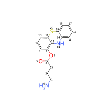 NCCCC(=O)Oc1cccc2c1Nc1ccccc1S2